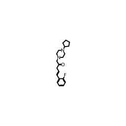 O=C(CC=Cc1ccccc1F)CN1CCN(C2CCCC2)CC1